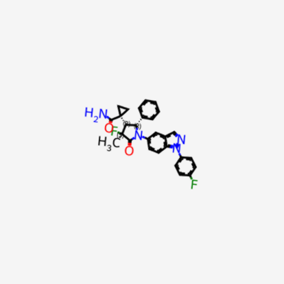 C[C@@]1(F)C(=O)N(c2ccc3c(cnn3-c3ccc(F)cc3)c2)[C@@H](c2ccccc2)[C@H]1C1(C(N)=O)CC1